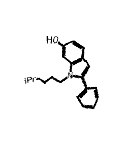 CC(C)CCCn1c(-c2ccccc2)cc2ccc(O)cc21